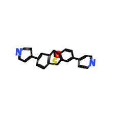 O=C1SC2c3cc(-c4ccncc4)ccc3C1c1cc(-c3ccncc3)ccc12